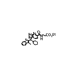 CCOC(=O)CCNC(=O)c1ccc(NC(c2sc3ccccc3c2C)C2CCCCC2)cn1